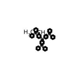 CC1C=CC=CC1N(c1ccccc1)C1C=CC(N(c2ccc(N(c3ccccc3)c3ccccc3)cc2)c2ccc(N(c3ccccc3)c3ccccc3)cc2)=CC1C